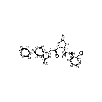 CC(=O)c1cn(CC(=O)N2C[C@H](F)CC2C(=O)Nc2cccnc2Cl)c2ccc(-c3ccnnc3)cc12